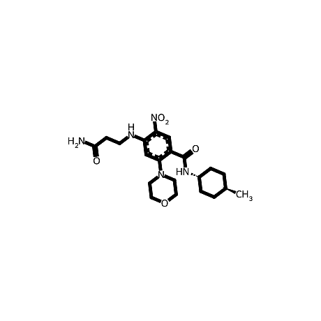 C[C@H]1CC[C@H](NC(=O)c2cc([N+](=O)[O-])c(NCCC(N)=O)cc2N2CCOCC2)CC1